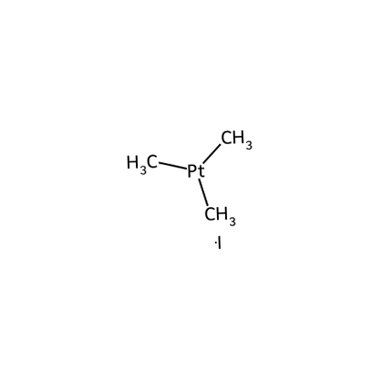 [CH3][Pt]([CH3])[CH3].[I]